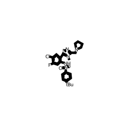 Cn1c(CN2CCCC2)nnc1-c1cc(Cl)c(F)cc1NS(=O)(=O)c1ccc(C(C)(C)C)cc1